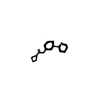 c1ccc(-c2cccc(CNC3CCC3)c2)nc1